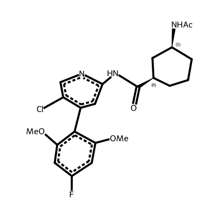 COc1cc(F)cc(OC)c1-c1cc(NC(=O)[C@@H]2CCC[C@H](NC(C)=O)C2)ncc1Cl